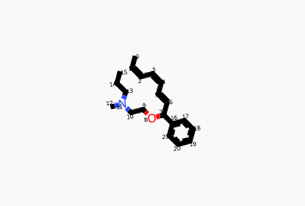 C\C=C/C=C\C=C\C(OCCN(C)CCC)c1ccccc1